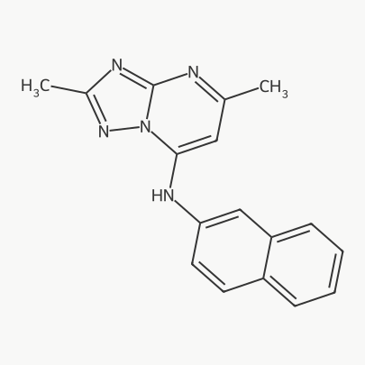 Cc1cc(Nc2ccc3ccccc3c2)n2nc(C)nc2n1